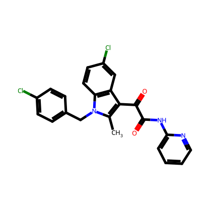 Cc1c(C(=O)C(=O)Nc2ccccn2)c2cc(Cl)ccc2n1Cc1ccc(Cl)cc1